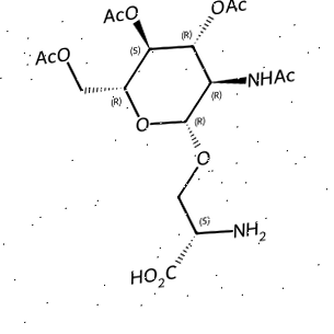 CC(=O)N[C@H]1[C@H](OC[C@H](N)C(=O)O)O[C@H](COC(C)=O)[C@@H](OC(C)=O)[C@@H]1OC(C)=O